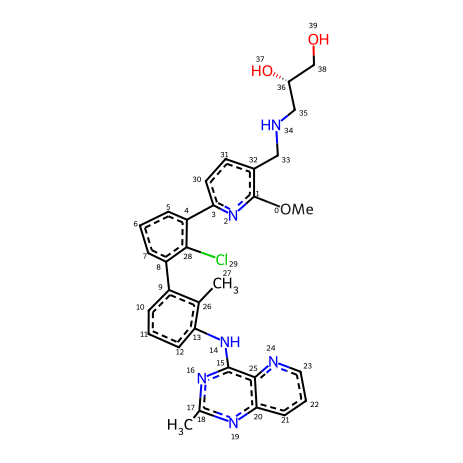 COc1nc(-c2cccc(-c3cccc(Nc4nc(C)nc5cccnc45)c3C)c2Cl)ccc1CNC[C@H](O)CO